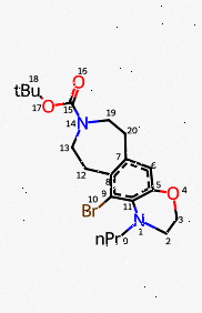 CCCN1CCOc2cc3c(c(Br)c21)CCN(C(=O)OC(C)(C)C)CC3